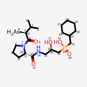 CC(C)[C@H]([AsH2])C(=O)N1CCC[C@H]1C(=O)NC[C@@H](O)CP(=O)(O)CC1CCCCC1